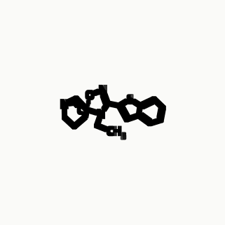 CCN1C(c2cc3ccccc3s2)=NO[C@]12CN1CCC2CC1